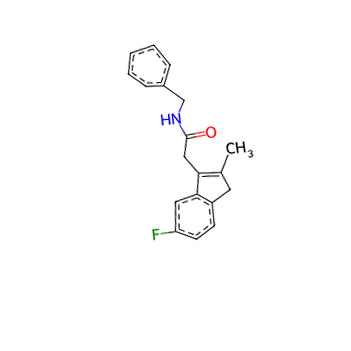 CC1=C(CC(=O)NCc2ccccc2)c2cc(F)ccc2C1